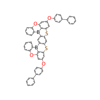 c1ccc(-c2ccc(Oc3cc4c5c(c3)Sc3cc6c(cc3B5c3ccccc3O4)B3c4ccccc4Oc4cc(Oc5ccc(-c7ccccc7)cc5)cc(c43)S6)cc2)cc1